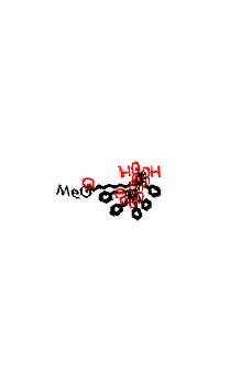 COC(=O)CCCCCCCCO[C@H]1O[C@H](CO)[C@@H](O)[C@H](OCc2ccccc2)[C@H]1O[C@@H]1O[C@H](COCc2ccccc2)[C@@H](OCc2ccccc2)[C@H](OCc2ccccc2)[C@H]1OCc1ccccc1